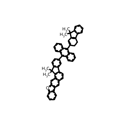 CC1(C)C2=C(CCC(c3c4ccccc4c(-c4ccc5c(c4)-c4ccc6cc7c(cc6c4C5(C)C)oc4ccccc47)c4ccccc34)=C2)c2ccccc21